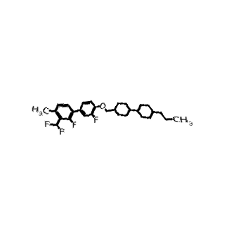 CCCC1CCC(C2CCC(COc3ccc(-c4ccc(C)c(C(F)F)c4F)cc3F)CC2)CC1